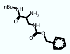 CCCCNC(=O)C(N)CNC(=O)OCc1ccccc1